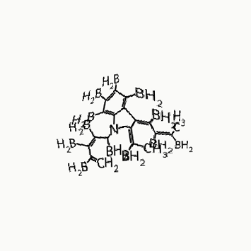 BC(=C)/C(B)=C(/B)C(B)n1c(=C(\B)C)/c(=C(B)\C(B)=C(\B)C)c2c(B)c(B)c(B)c(B)c21